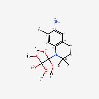 CCOC(O)(OCC)C(OCC)(OCC)N1c2cc(C(C)C)c(N)cc2CCC1(C)C